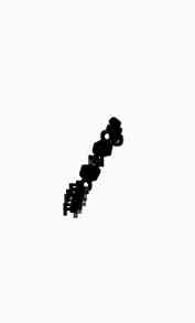 CCC(C)(C)C(=O)Oc1ccc(/N=N/c2ccc(OCC(F)(F)C(F)(F)C(F)(F)C(F)F)cc2)cc1